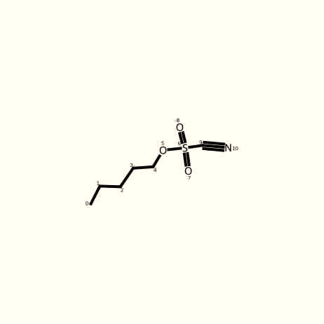 CCCCCOS(=O)(=O)C#N